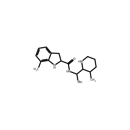 Cc1cccc2c1NC(C(=O)NC(C1NCCCC1C)C(C)(C)C)C2